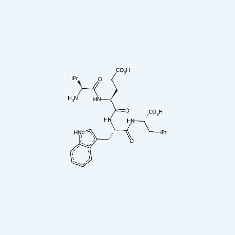 CC(C)C[C@H](NC(=O)[C@H](Cc1c[nH]c2ccccc12)NC(=O)[C@H](CCC(=O)O)NC(=O)[C@@H](N)C(C)C)C(=O)O